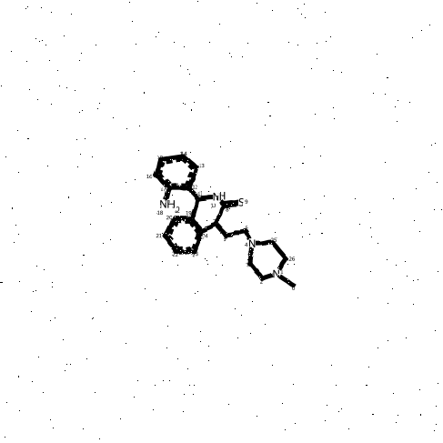 CN1CCN(CCC2C(=S)NC(c3ccccc3N)c3ccccc32)CC1